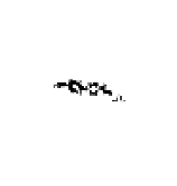 CCCC(=O)N1CCN(c2ccc(C#N)cn2)CC1